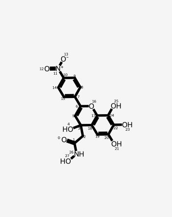 O=C(CC1(O)C=C(c2ccc([N+](=O)[O-])cc2)Oc2c1cc(O)c(O)c2O)NO